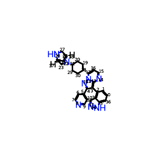 c1cc(-c2c(-c3ccncc3)nn3c2nccc3[C@H]2CC[C@@H](N3C[C@@H]4C[C@H]3CN4)CC2)c2cn[nH]c2c1